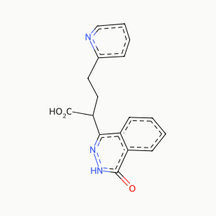 O=C(O)C(CCc1ccccn1)c1n[nH]c(=O)c2ccccc12